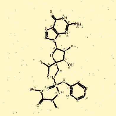 CC(C)OC(=O)[C@H](C)NP(=S)(OC[C@@]1(C(F)F)O[C@@H](n2cnc3c(=O)[nH]c(N)nc32)[C@@H](F)[C@@H]1O)Oc1ccccc1